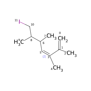 C=C(C)/C(C)=C\C(C)C(C)CI